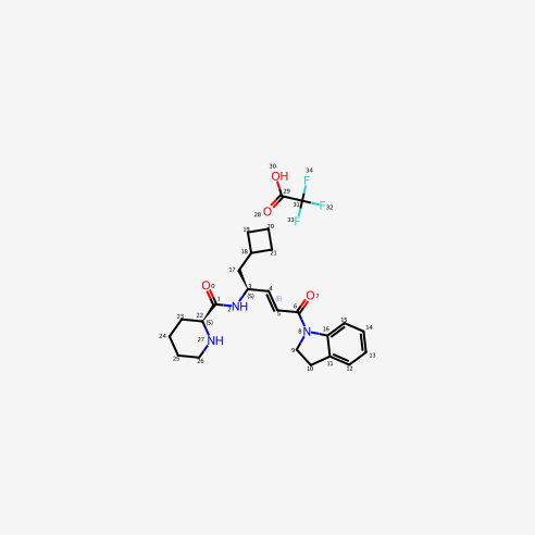 O=C(N[C@H](/C=C/C(=O)N1CCc2ccccc21)CC1CCC1)[C@@H]1CCCCN1.O=C(O)C(F)(F)F